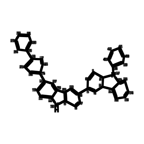 C1=CC2C(C=C1c1ccc3[nH]c4ccc(-c5ccc(-c6ccccc6)cc5)cc4c3c1)c1ccccc1N2c1ccccc1